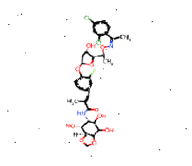 CC(=NOC(C)[C@H]1O[C@@H](Oc2ccc(/C=C(\C)C(=O)N[C@@H]3C(O)C(O)C4OCO[C@H]4[C@@H]3O)cc2F)C[C@@H]1O)c1ccc(Cl)cc1Cl